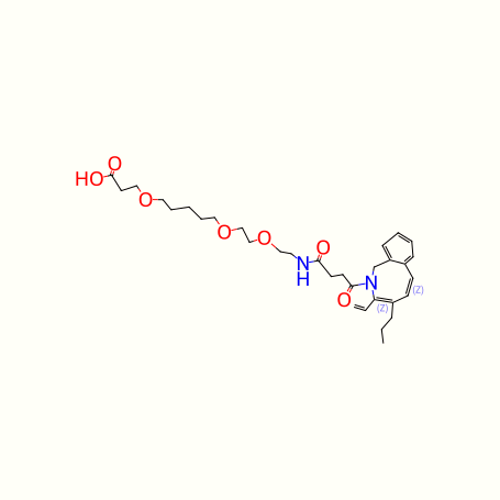 C=C/C1=C(CCC)/C=C\c2ccccc2CN1C(=O)CCC(=O)NCCOCCOCCCCCOCCC(=O)O